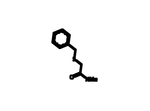 CNC(=O)CSCc1ccccc1